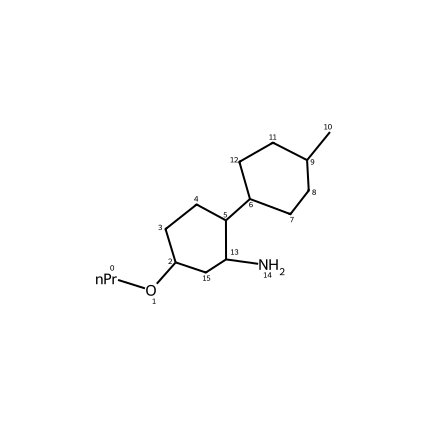 CCCOC1CCC(C2CCC(C)CC2)C(N)C1